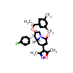 Cc1noc(C)c1C1=CC(=O)N2C[C@H](O[C@H](C)c3cc(C(F)(F)F)cc(C(F)(F)F)c3)[C@@H](c3ccc(F)cc3)[C@@H]2C1